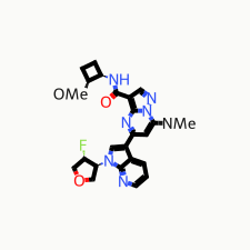 CNc1cc(-c2cn([C@@H]3COC[C@@H]3F)c3ncccc23)nc2c(C(=O)N[C@H]3CC[C@@H]3OC)cnn12